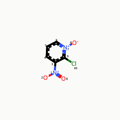 O=[N+]([O-])c1ccc[n+]([O-])c1Cl